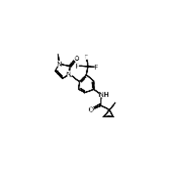 Cn1ccn(-c2ccc(NC(=O)C3(C)CC3)cc2C(F)(F)F)c1=O